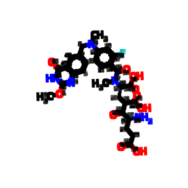 COc1nc2ccc(CN(C)c3ccc(C(=O)N(C)[C@@H](CC(C(=O)O)C(=O)[C@@H](N)CCC(=O)O)C(=O)O)c(F)c3)cc2c(=O)[nH]1